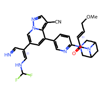 COC/C=C/C(=O)N1C2CC1CN(c1ccc(-c3cc(/C(C=N)=C/NC(F)F)cn4ncc(C#N)c34)cn1)C2